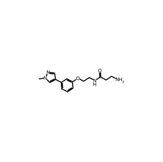 Cn1cc(-c2c[c]cc(OCCNC(=O)CCN)c2)cn1